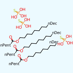 CCCCCCCCCCCCCCCCCCOC(=O)CCCCC.CCCCCCCCCCCCCCCCCCOC(=O)CCCCC.CCCCCCCCCCCCCCCCCCOC(=O)CCCCC.OP(O)(O)=S.OP(O)(O)=S.OP(O)(O)=S